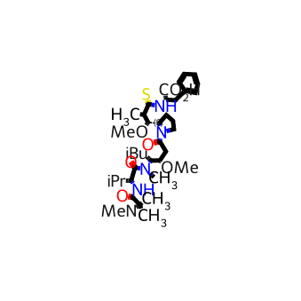 CCC(C)C(C(CC(=O)N1CCC[C@H]1C(OC)C(C)C(=S)NC(Cc1ccccc1)C(=O)O)OC)N(C)C(=O)C(NC(=O)C(C)(C)NC)C(C)C